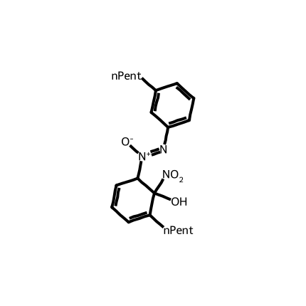 CCCCCC1=CC=CC([N+]([O-])=Nc2cccc(CCCCC)c2)C1(O)[N+](=O)[O-]